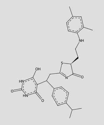 Cc1ccc(NCC[C@@H]2SC(CC(c3ccc(C(C)C)cc3)c3c(O)[nH]c(=O)[nH]c3=O)=NC2=O)c(C)c1